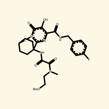 COCCN(C)C(=O)C(=O)NC12CCC(CC1)Cn1c2nc(C(=O)NCc2ccc(F)cc2)c(O)c1=O